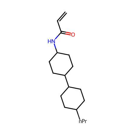 C=CC(=O)NC1CCC(C2CCC(CCC)CC2)CC1